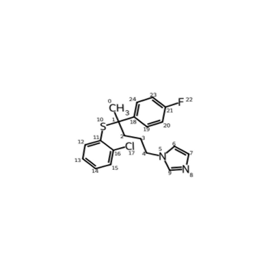 CC(CCCn1ccnc1)(Sc1ccccc1Cl)c1ccc(F)cc1